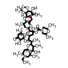 CCN1C[C@H](C)O[C@@H](O[C@@H]([C@H](C)[C@@H](O[C@@H]2O[C@H](C)CC(=O)[C@H]2O)[C@@H](C)CC(C)(OC(=O)N2C[C@@H](C)O[C@@H](C)C2)C(=O)[C@@H](C[C@@H](C)CO[C@@H]2O[C@H](C)[C@@H](O)[C@@H](OC)[C@H]2OC)OC(=O)CC(C)C)[C@@H](C)C(=O)O)C[C@H]1C